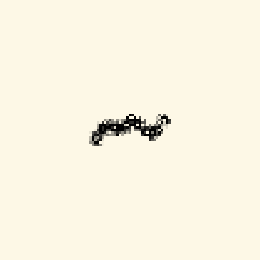 C1=CCC(C2C=Cc3oc4ccc(-c5ccc6oc7cc8c(cc7c6c5)oc5cc6c(cc58)oc5ccc(-c7ccccc7)cc56)cc4c3C2)C=C1